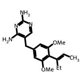 CC=C(CC)c1c(OC)cc(Cc2cnc(N)nc2N)cc1OC